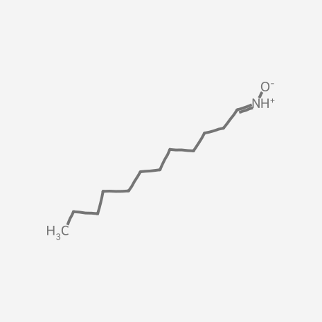 CCCCCCCCCCCC=[NH+][O-]